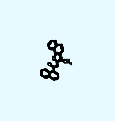 CN1C(=CC(=O)c2cccc3ccccc23)Oc2c1ccc1ccccc21